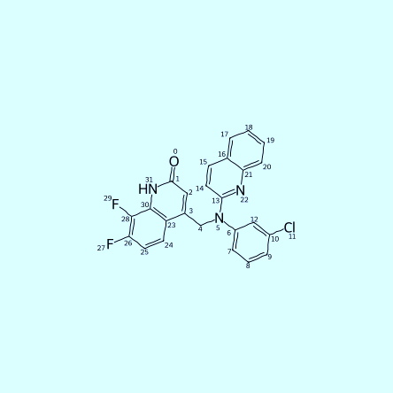 O=c1cc(CN(c2cccc(Cl)c2)c2ccc3ccccc3n2)c2ccc(F)c(F)c2[nH]1